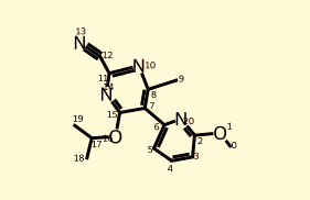 COc1cccc(-c2c(C)nc(C#N)nc2OC(C)C)n1